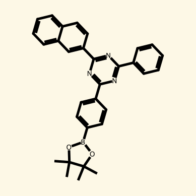 CC1(C)OB(c2ccc(-c3nc(-c4ccccc4)nc(-c4ccc5ccccc5c4)n3)cc2)OC1(C)C